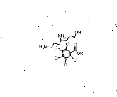 NCCCC(N)CCCO.O=C(O)c1c(Cl)c(Cl)c(Cl)c(Cl)c1Cl